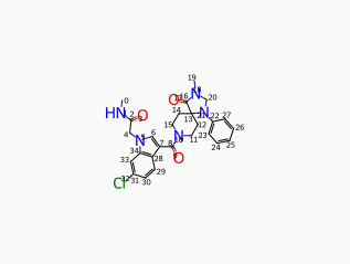 CNC(=O)Cn1cc(C(=O)N2CCC3(CC2)C(=O)N(C)CN3c2ccccc2)c2ccc(Cl)cc21